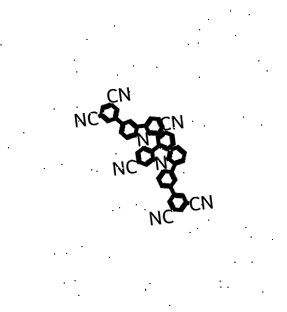 N#Cc1cc(C#N)cc(-c2ccc3c(c2)c2ccccc2n3-c2cc(C#N)cc(-n3c4ccccc4c4cc(-c5cc(C#N)cc(C#N)c5)ccc43)c2-c2cccc(C#N)c2)c1